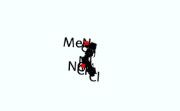 CNC(=O)[C@@H]1CCCN1[C@H]1CC=C(c2cnc3c(C#N)nn([C@H](C)c4ccc(Cl)cc4Cl)c3n2)C[C@H]1C